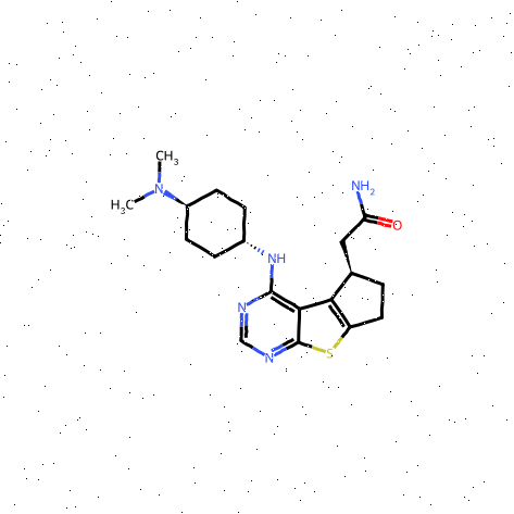 CN(C)[C@H]1CC[C@H](Nc2ncnc3sc4c(c23)[C@@H](CC(N)=O)CC4)CC1